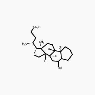 C[C@H](CCC(=O)O)[C@H]1CC[C@H]2[C@@H]3CC(O)C4CCCC[C@]4(C)[C@H]3CC[C@]12C